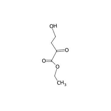 CCOC(=O)C(=O)CCO